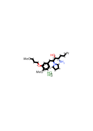 COCCCOc1cc(CC([C@@H](O)[C@@H](N)CCC(C)C)N2CCCC2)ccc1OC.Cl.Cl